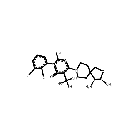 Cc1nc(N2CCC3(CC2)CO[C@@H](C)[C@H]3N)c(C(S)(S)S)c(=O)n1-c1cccc(Cl)c1Cl